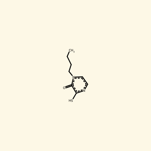 CCCCn1ccnc(S)c1=O